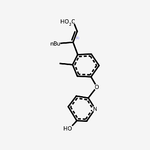 CCCC/C(=C\C(=O)O)c1ccc(Oc2ccc(O)cn2)cc1C